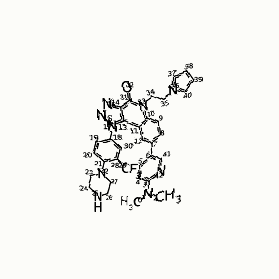 CN(C)c1ccc(-c2ccc3c(c2)c2c(nnn2-c2ccc(N4CCNCC4)c(C(F)(F)F)c2)c(=O)n3CCn2cccc2)cn1